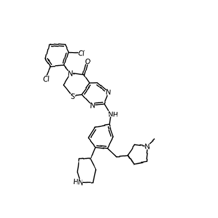 CN1CCC(Cc2cc(Nc3ncc4c(n3)SCN(c3c(Cl)cccc3Cl)C4=O)ccc2C2CCNCC2)C1